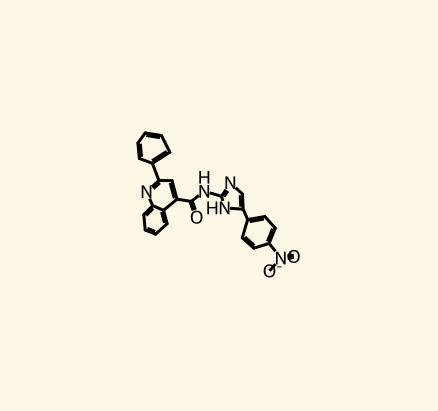 O=C(Nc1ncc(-c2ccc([N+](=O)[O-])cc2)[nH]1)c1cc(-c2ccccc2)nc2ccccc12